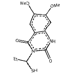 CCC(S)n1c(=O)[nH]c2cc(OC)c(OC)cc2c1=O